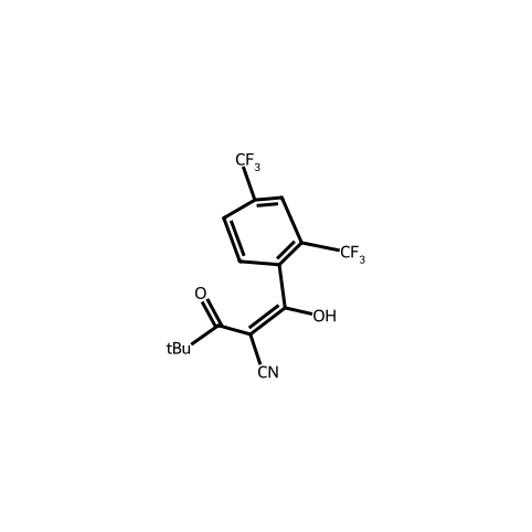 CC(C)(C)C(=O)C(C#N)=C(O)c1ccc(C(F)(F)F)cc1C(F)(F)F